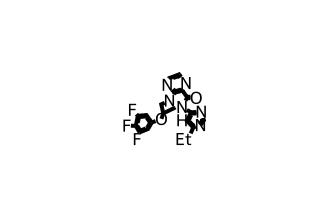 CCc1cc(NC(=O)c2nccnc2N2CC(Oc3cc(F)c(F)c(F)c3)C2)ncn1